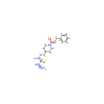 CN(CCC1CCN(C(=O)OCc2ccccc2)CC1)C(=S)NN